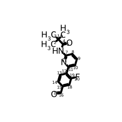 CC(C)(C)C(=O)Nc1cccc(-c2ccc(C=O)cc2F)n1